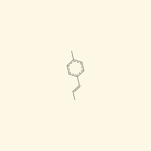 C/C=[C]/c1ccc(C)cc1